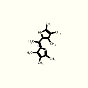 CC1=N/C(=C(/C)c2[nH]c(C)c(C)c2C)C(C)=C1C